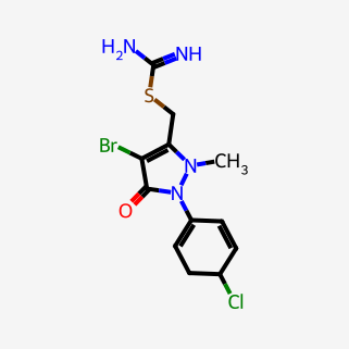 Cn1c(CSC(=N)N)c(Br)c(=O)n1C1=CCC(Cl)C=C1